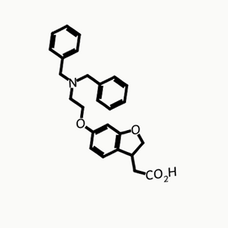 O=C(O)CC1COc2cc(OCCN(Cc3ccccc3)Cc3ccccc3)ccc21